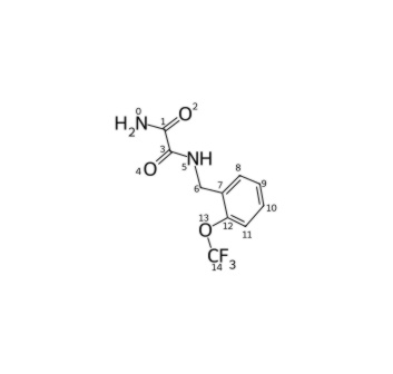 NC(=O)C(=O)NCc1ccccc1OC(F)(F)F